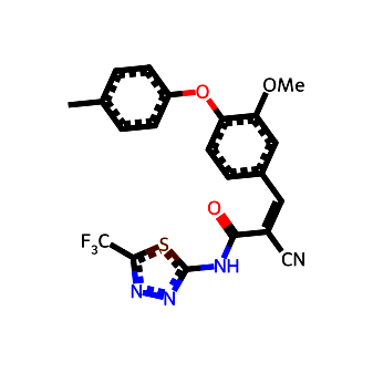 COc1cc(C=C(C#N)C(=O)Nc2nnc(C(F)(F)F)s2)ccc1Oc1ccc(C)cc1